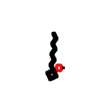 CCCCCCCC1([O])CCC1